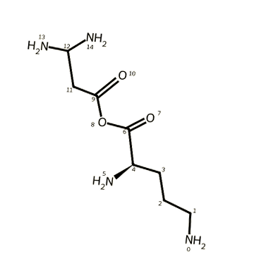 NCCC[C@@H](N)C(=O)OC(=O)CC(N)N